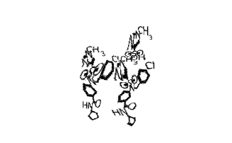 Cn1cnc(S(=O)(=O)N(Cc2ccc(Cl)cc2)c2cccc(C(=O)NC3CCC3)c2)c1.Cn1cnc(S(=O)(=O)N(Cc2ccc(Cl)cc2)c2cccc(C(=O)NC3CCCC3)c2)c1.Cn1cnc(S(=O)(=O)O)c1